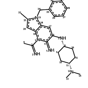 CC(=N)n1c(=N)c(N[C@H]2CC[C@@H](N(C)C)CC2)cc2c1cc(C)n2Cc1ccccc1